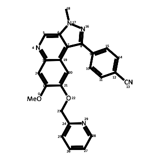 COc1cc2ncc3c(c(-c4ccc(C#N)cc4)nn3C)c2cc1OCc1ccccn1